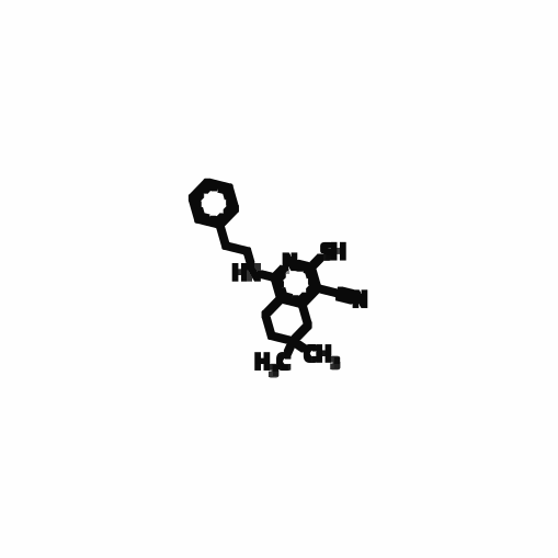 CC1(C)CCc2c(NCCc3ccccc3)nc(S)c(C#N)c2C1